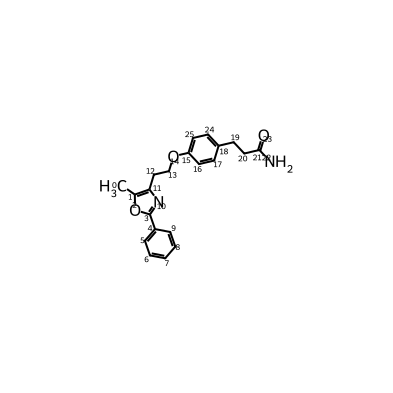 Cc1oc(-c2ccccc2)nc1CCOc1ccc(CCC(N)=O)cc1